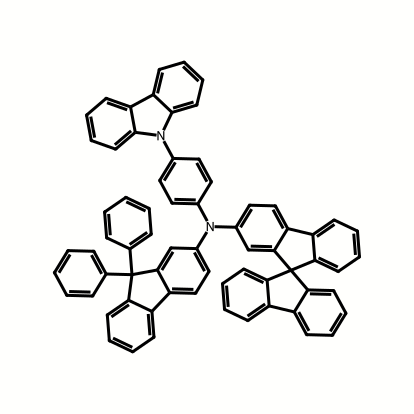 c1ccc(C2(c3ccccc3)c3ccccc3-c3ccc(N(c4ccc(-n5c6ccccc6c6ccccc65)cc4)c4ccc5c(c4)C4(c6ccccc6-c6ccccc64)c4ccccc4-5)cc32)cc1